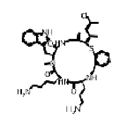 C=C1CNC(=O)[C@H](Cc2c[nH]c3ccccc23)N(C)C(=O)[C@H](CCCCN)NC(=O)[C@H](CCCN)NCc2ccccc2S/C1=C(C)/C=C(\C)Cl